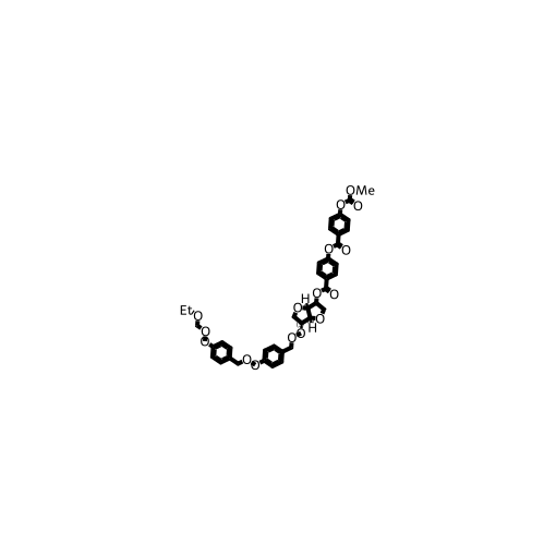 CCOCOOc1ccc(COOc2ccc(COO[C@H]3CO[C@@H]4C(OC(=O)c5ccc(OC(=O)c6ccc(OC(=O)OC)cc6)cc5)CO[C@H]34)cc2)cc1